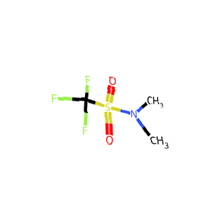 CN(C)S(=O)(=O)C(F)(F)F